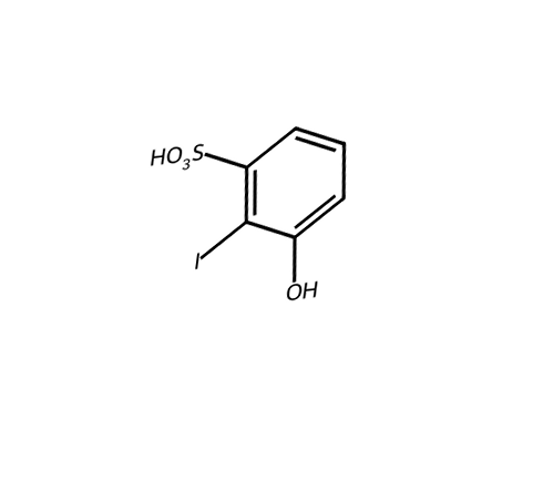 O=S(=O)(O)c1cccc(O)c1I